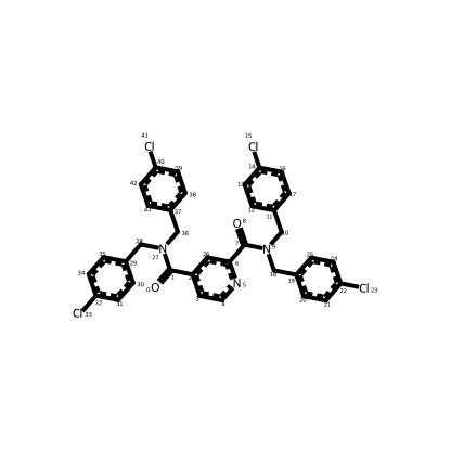 O=C(c1ccnc(C(=O)N(Cc2ccc(Cl)cc2)Cc2ccc(Cl)cc2)c1)N(Cc1ccc(Cl)cc1)Cc1ccc(Cl)cc1